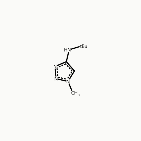 Cn1cc(NC(C)(C)C)nn1